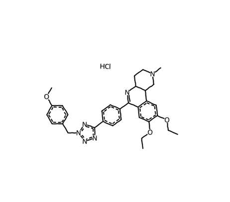 CCOc1cc2c(cc1OCC)C1CN(C)CCC1N=C2c1ccc(-c2nnn(Cc3ccc(OC)cc3)n2)cc1.Cl